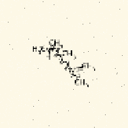 CCCN(/C=N/C/C(C)=C/N=C(/C)NC)CCC